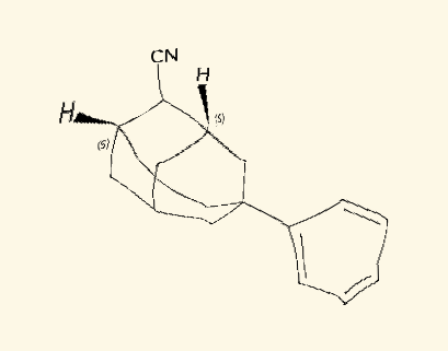 N#CC1[C@H]2CC3C[C@H]1CC(c1ccccc1)(C3)C2